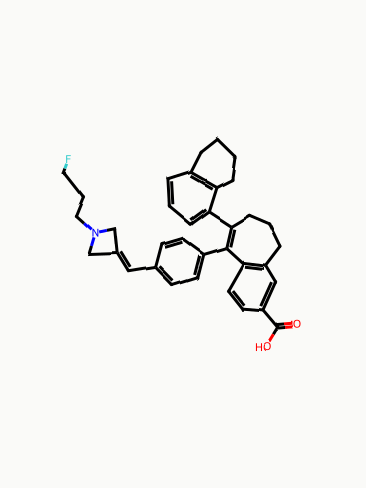 O=C(O)c1ccc2c(c1)CCCC(c1cccc3c1CCCC3)=C2c1ccc(C=C2CN(CCCF)C2)cc1